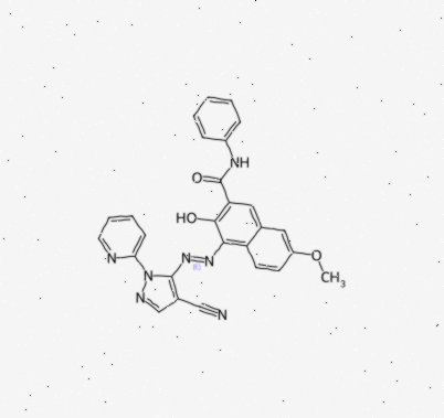 COc1ccc2c(/N=N/c3c(C#N)cnn3-c3ccccn3)c(O)c(C(=O)Nc3ccccc3)cc2c1